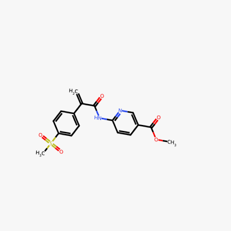 C=C(C(=O)Nc1ccc(C(=O)OC)cn1)c1ccc(S(C)(=O)=O)cc1